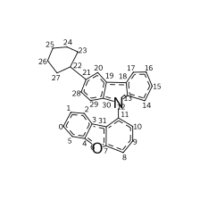 c1ccc2c(c1)oc1cccc(-n3c4ccccc4c4cc(C5CCCCC5)ccc43)c12